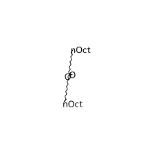 CCCCCCCC/C=C/CCCCCCCCOC(=O)CCCCCCC/C=C/CCCCCCCC